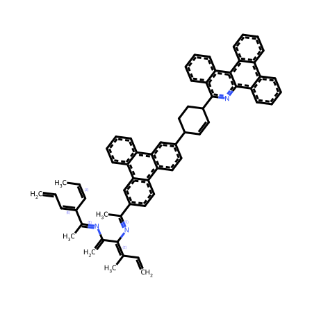 C=C/C=C(\C=C/C)C(/C)=N/C(=C)C(/N=C(\C)c1ccc2c3ccc(C4C=CC(c5nc6c7ccccc7c7ccccc7c6c6ccccc56)CC4)cc3c3ccccc3c2c1)=C(\C)C=C